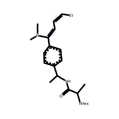 CC/C=C\C=C(\c1ccc(C(C)NC(=O)C(C)CCCCCC)cc1)N(C)C